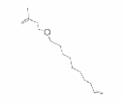 C=CCCCCCCCCOCCC(=C)C